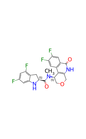 CN(C(=O)[C@@H]1Cc2c(F)cc(F)cc2N1)[C@@H]1COCc2[nH]c(=O)c3cc(F)c(F)cc3c21